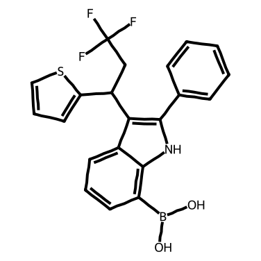 OB(O)c1cccc2c(C(CC(F)(F)F)c3cccs3)c(-c3ccccc3)[nH]c12